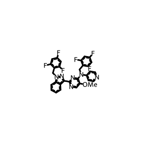 COc1cnc(-c2nn(Cc3c(F)cc(F)cc3F)c3ccccc23)nc1N(Cc1c(F)cc(F)cc1F)c1ccncc1